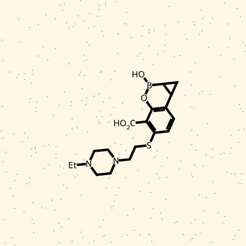 CCN1CCN(CCSc2ccc3c(c2C(=O)O)OB(O)C2CC32)CC1